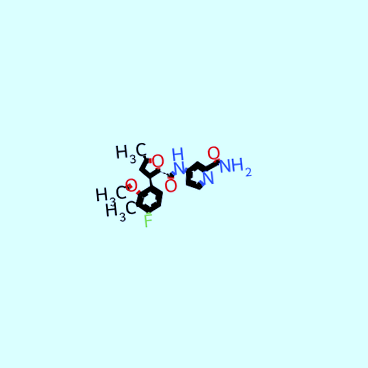 COc1c([C@H]2C[C@@H](C)O[C@@H]2C(=O)Nc2ccnc(C(N)=O)c2)ccc(F)c1C